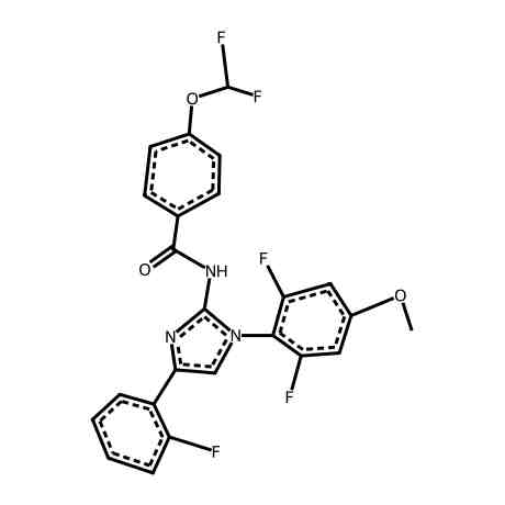 COc1cc(F)c(-n2cc(-c3ccccc3F)nc2NC(=O)c2ccc(OC(F)F)cc2)c(F)c1